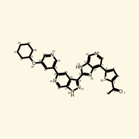 CC(=O)c1ccc(-c2cncc3[nH]c(-c4n[nH]c5cnc(-c6cncc(OC7CCCCC7)c6)cc45)nc23)s1